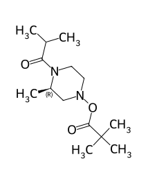 CC(C)C(=O)N1CCN(OC(=O)C(C)(C)C)C[C@H]1C